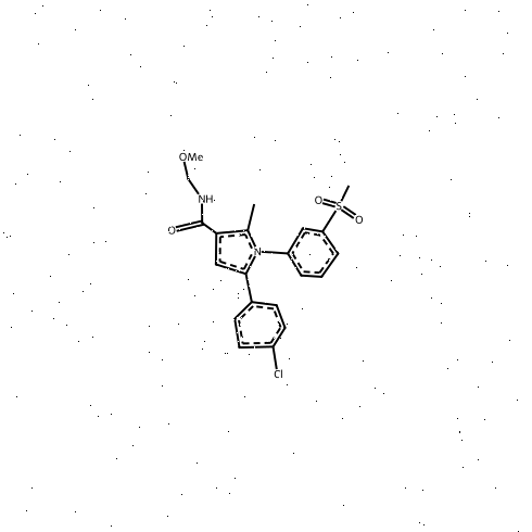 COCNC(=O)c1cc(-c2ccc(Cl)cc2)n(-c2cccc(S(C)(=O)=O)c2)c1C